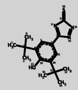 CC(C)(C)c1cc(C2=NC(=S)N=N2)cc(C(C)(C)C)c1O